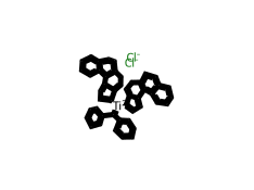 C1=C2C(=CC=[C]2[Ti+2]([C]2=CC=C3C2=CCc2ccc4ccccc4c23)=[C](c2ccccc2)c2ccccc2)c2c(ccc3ccccc23)C1.[Cl-].[Cl-]